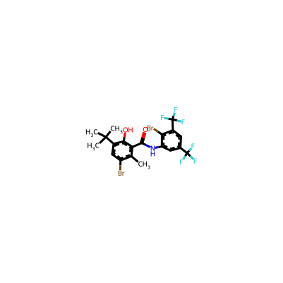 Cc1c(Br)cc(C(C)(C)C)c(O)c1C(=O)Nc1cc(C(F)(F)F)cc(C(F)(F)F)c1Br